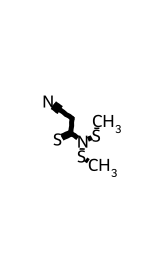 CSN(SC)C(=S)CC#N